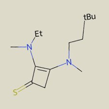 CCN(C)C1=C(N(C)CCC(C)(C)C)CC1=S